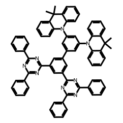 CC1(C)c2ccccc2N(c2cc(-c3cc(-c4nc(-c5ccccc5)nc(-c5ccccc5)n4)cc(-c4nc(-c5ccccc5)nc(-c5ccccc5)n4)c3)cc(N3c4ccccc4C(C)(C)c4ccccc43)c2)c2ccccc21